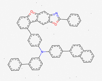 c1ccc(-c2cccc(N(c3ccc(-c4ccc5ccccc5c4)cc3)c3ccc(-c4cccc5oc6cc7nc(-c8ccccc8)oc7cc6c45)cc3)c2)cc1